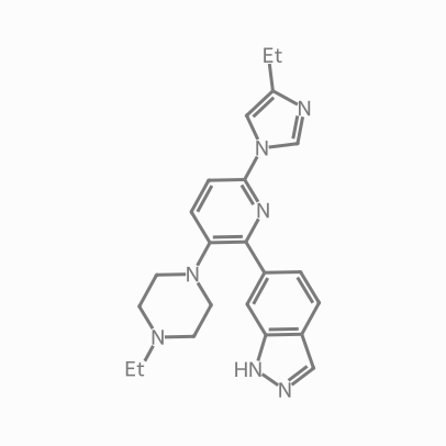 CCc1cn(-c2ccc(N3CCN(CC)CC3)c(-c3ccc4cn[nH]c4c3)n2)cn1